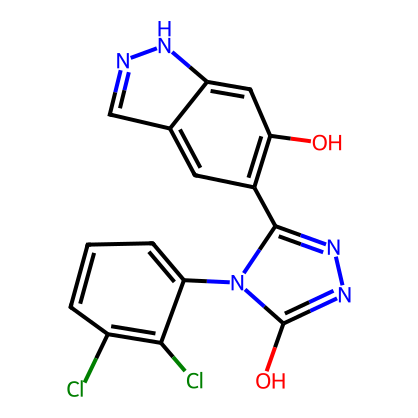 Oc1cc2[nH]ncc2cc1-c1nnc(O)n1-c1cccc(Cl)c1Cl